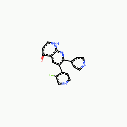 O=c1cc[nH]c2nc(-c3ccncc3)c(-c3ccncc3F)cc12